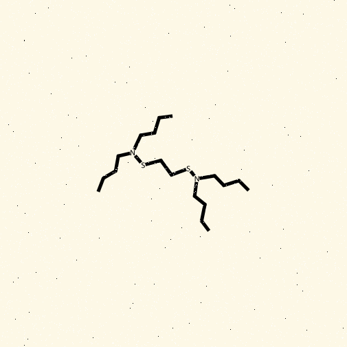 CCCCN(CCCC)SCCSN(CCCC)CCCC